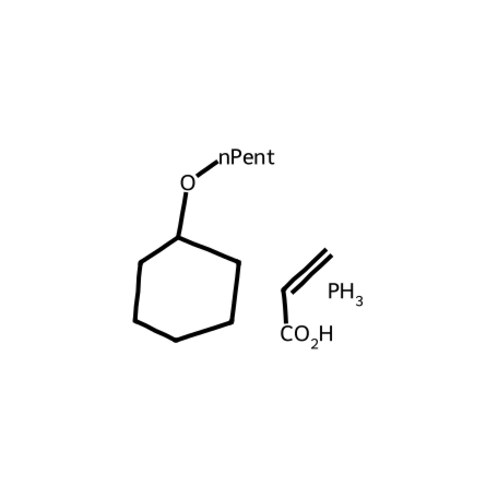 C=CC(=O)O.CCCCCOC1CCCCC1.P